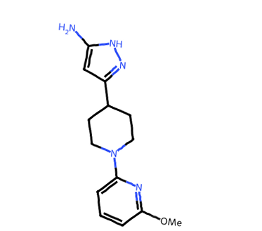 COc1cccc(N2CCC(c3cc(N)[nH]n3)CC2)n1